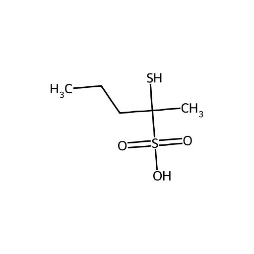 CCCC(C)(S)S(=O)(=O)O